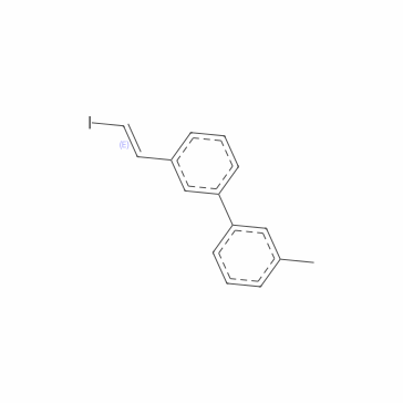 Cc1cccc(-c2cccc(/C=C/I)c2)c1